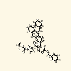 CC(C)(C)OC(=O)N1CC[C@@H](C(=O)N[C@@H](CC(=O)OCc2ccccc2)C(=O)N[C@@H](Cc2ccccc2)C(=O)OCc2ccccc2)C1